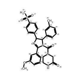 COc1cccc(C2=NC(c3ccc(S(C)(=O)=O)cc3)C(c3cccc(C)c3)N2C(=O)N2CCNC(=O)C2)c1